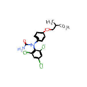 CC(COc1ccc(N(C(N)=O)c2c(Cl)cc(Cl)cc2Cl)cc1)C(=O)O